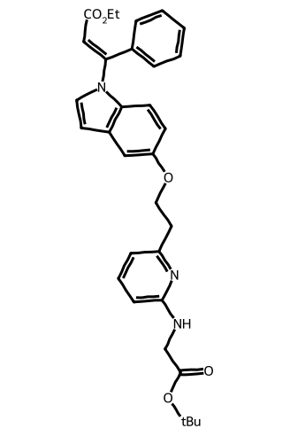 CCOC(=O)/C=C(\c1ccccc1)n1ccc2cc(OCCc3cccc(NCC(=O)OC(C)(C)C)n3)ccc21